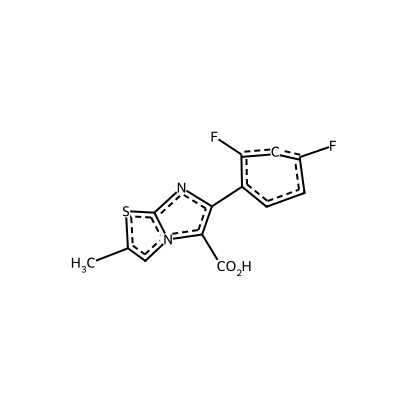 Cc1cn2c(C(=O)O)c(-c3ccc(F)cc3F)nc2s1